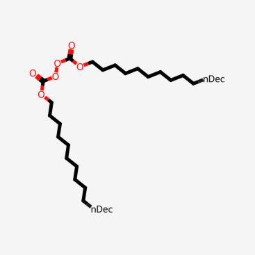 CCCCCCCCCCCCCCCCCCCCOC(=O)OOC(=O)OCCCCCCCCCCCCCCCCCCCC